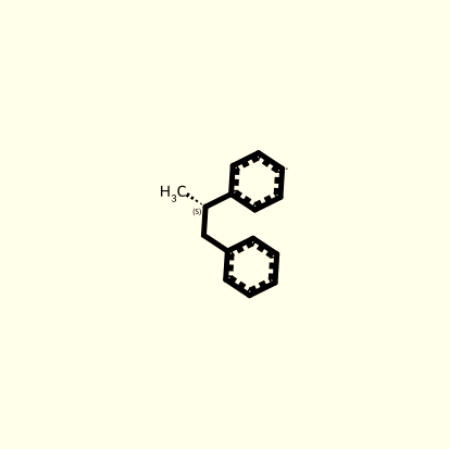 C[C@@H](Cc1ccccc1)c1cc[c]cc1